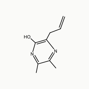 C=CCc1nc(C)c(C)nc1O